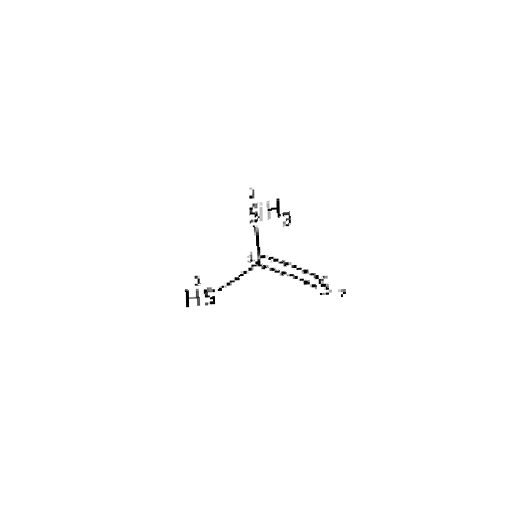 [SiH3]C(=S)S